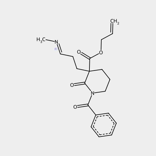 C=CCOC(=O)C1(CC/C=N/C)CCCN(C(=O)c2ccccc2)C1=O